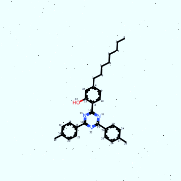 CCCCCCCCc1ccc(-c2nc(-c3ccc(C)cc3)nc(-c3ccc(C)cc3)n2)c(O)c1